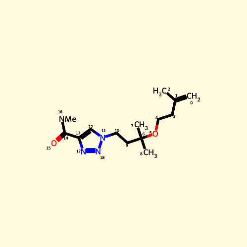 C=C(C)CCOC(C)(C)CCn1cc(C(=O)NC)nn1